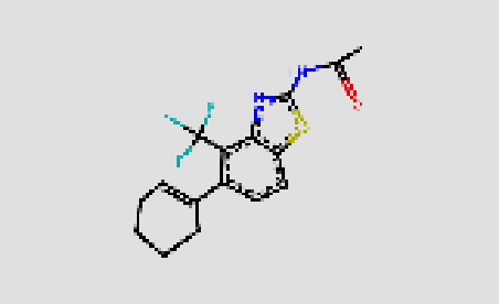 CC(=O)Nc1nc2c(C(F)(F)F)c(C3=CCCCC3)ccc2s1